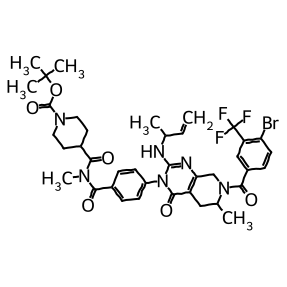 C=CC(C)Nc1nc2c(c(=O)n1-c1ccc(C(=O)N(C)C(=O)C3CCN(C(=O)OC(C)(C)C)CC3)cc1)CC(C)N(C(=O)c1ccc(Br)c(C(F)(F)F)c1)C2